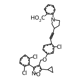 O=C(O)c1ccccc1N1CCC(C#Cc2ccc(OCc3c(-c4c(Cl)cccc4Cl)noc3C3CC3)cc2Cl)C1